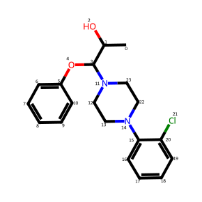 CC(O)C(Oc1ccccc1)N1CCN(c2ccccc2Cl)CC1